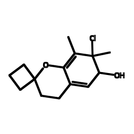 CC1=C2OC3(CCC3)CCC2=CC(O)C1(C)Cl